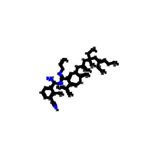 C=CC/N=C(/N[C@H](N)c1cccc(C#N)c1C)C1=CC(CC(=C)CC(C)(CC)C/C(=C/CC)CC)C(=C)CC=C1C(=C)C